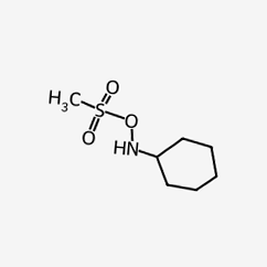 CS(=O)(=O)ONC1CCCCC1